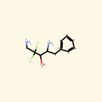 NCC(F)(F)C(O)C(N)Cc1ccccc1